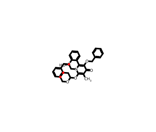 Cc1c(OC2CCCCO2)n(CCO)c(-c2ccccc2OCc2ccccc2)c(OCc2ccccc2)c1=O